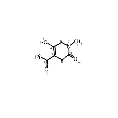 CC(C)C(=O)C1=C(O)CN(C)C(=O)C1